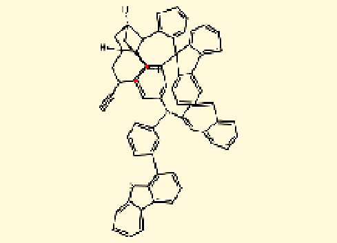 C#C[C@H]1C[C@@H]2C[C@@H]3C[C@H](C1)C21c2ccc(N(c4cccc(-c5cccc6c5sc5ccccc56)c4)c4ccc5ccccc5c4)cc2C2(c4ccccc4-c4ccccc42)c2ccccc2C31